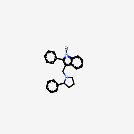 CCn1c(-c2ccccc2)c(CN2CCCC2c2ccccc2)c2ccccc21